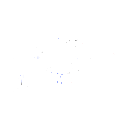 O=C1N[C@H](Cc2c[nH]c3ccccc23)C(=O)N[C@@H](Cc2ccccc2)C(=O)N2CCC[C@@H]2C(=O)N[C@H]1Cc1ccc(O)cc1